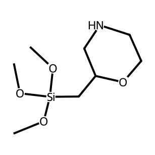 CO[Si](CC1CNCCO1)(OC)OC